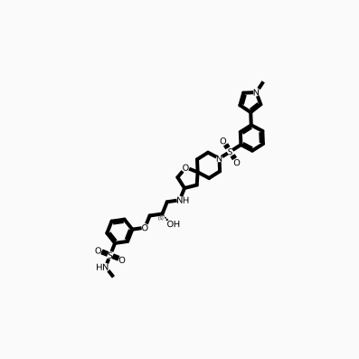 CNS(=O)(=O)c1cccc(OC[C@@H](O)CNC2COC3(CCN(S(=O)(=O)c4cccc(-c5ccn(C)c5)c4)CC3)C2)c1